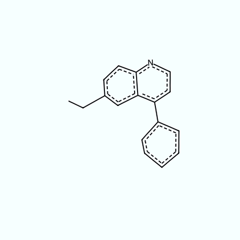 CCc1ccc2nccc(-c3ccccc3)c2c1